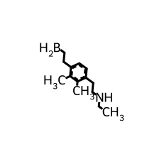 BCCc1ccc(CCNCC)c(C)c1C